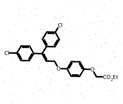 CCOC(=O)COc1ccc(OCC=C(c2ccc(Cl)cc2)c2ccc(Cl)cc2)cc1